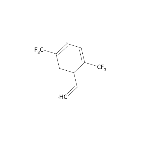 [CH]=CC1CC(C(F)(F)F)=[C]C=C1C(F)(F)F